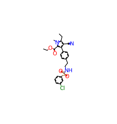 CCOC(=O)c1c(-c2ccc(CCNS(=O)(=O)c3cccc(Cl)c3)cc2)c(C#N)c(CC)n1C